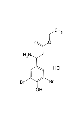 CCOC(=O)CC(N)c1cc(Br)c(O)c(Br)c1.Cl